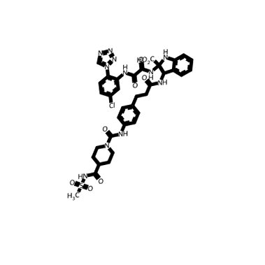 CS(=O)(=O)NC(=O)C1CCN(C(=O)Nc2ccc(CCC(=O)NC3c4ccccc4NC3(NC(=O)C(=O)Nc3cc(Cl)ccc3-n3cnnn3)C(=O)O)cc2)CC1